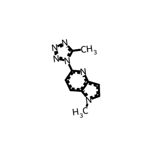 Cc1nnnn1-c1ccc2c(ccn2C)n1